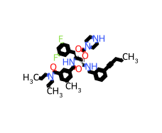 CCCC#Cc1cccc(CNC[C@@H](OC(=O)N2CCNCC2)[C@H](Cc2cc(F)cc(F)c2)NC(=O)c2cc(C)cc(C(=O)N(CCC)CCC)c2)c1